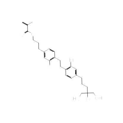 C=C(C)C(=O)OCCCc1ccc(CCc2ccc(CCCC(CC)(CO)CO)cc2CC)c(F)c1